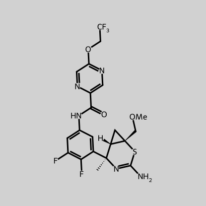 COC[C@]12C[C@H]1[C@](C)(c1cc(NC(=O)c3cnc(OCC(F)(F)F)cn3)cc(F)c1F)N=C(N)S2